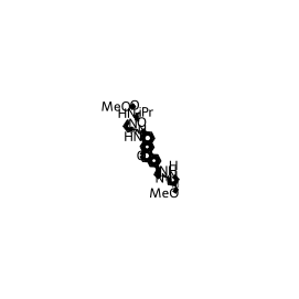 COC[C@@H]1CN[C@H](c2ncc(-c3ccc4c(c3)COc3cc5c(cc3-4)CCc3nc([C@@H]4CCCN4C(=O)[C@@H](NC(=O)OC)C(C)C)[nH]c3-5)[nH]2)C1